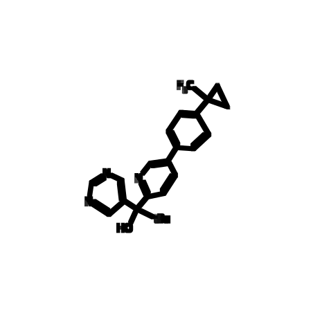 CC(C)(C)C(O)(c1cncnc1)c1ccc(-c2ccc(C3(C(F)(F)F)CC3)cc2)cn1